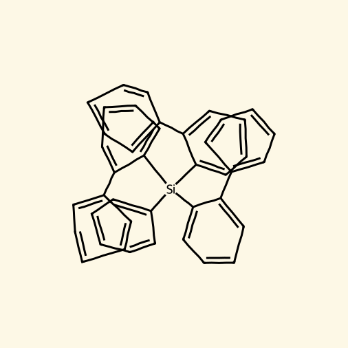 c1ccc(-c2ccccc2[Si](c2ccccc2)(c2ccccc2-c2ccccc2)c2ccccc2-c2ccccc2)cc1